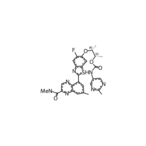 CNC(=O)c1cnc2c(-c3nc4cc(F)c(O[C@H](C)[C@H](C)OC(=O)Nc5cnc(C)nc5)cc4s3)cc(C)cc2n1